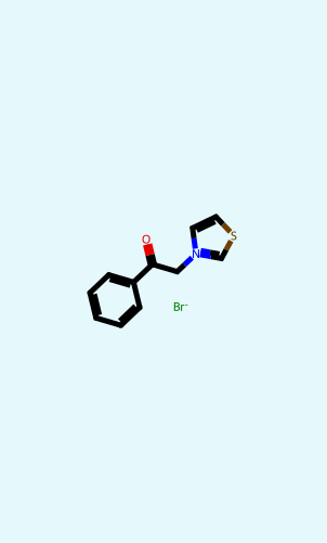 O=C(C[n+]1ccsc1)c1ccccc1.[Br-]